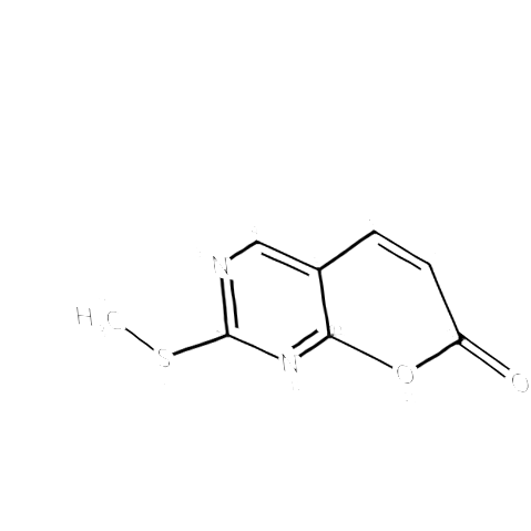 CSc1ncc2ccc(=O)oc2n1